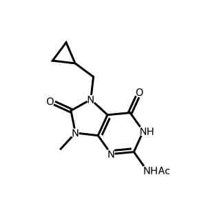 CC(=O)Nc1nc2c(c(=O)[nH]1)n(CC1CC1)c(=O)n2C